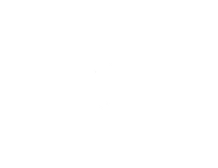 CCOC(=O)C(=O)c1ccc(CS)cc1